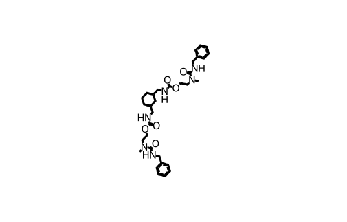 CN(CCOC(=O)NCC1CCCC(CNC(=O)OCCN(C)C(=O)NCc2ccccc2)C1)C(=O)NCc1ccccc1